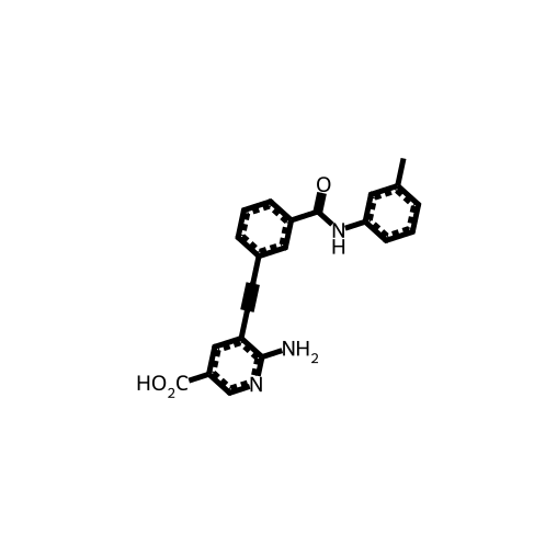 Cc1cccc(NC(=O)c2cccc(C#Cc3cc(C(=O)O)cnc3N)c2)c1